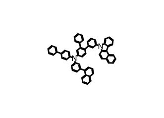 c1ccc(-c2ccc(N(c3cccc(-c4cccc5ccccc45)c3)c3ccc(-c4cccc(-n5c6ccccc6c6c7ccccc7ccc65)c4)c(-c4ccccc4)c3)cc2)cc1